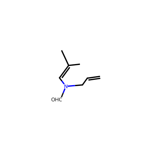 C=CCN(C=O)C=C(C)C